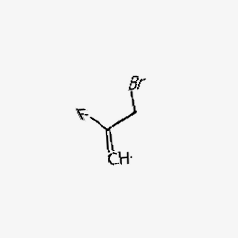 [CH]=C(F)CBr